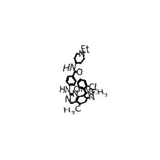 CCN1CCC(NC(=O)c2ccc(Nc3ncc4c(n3)-c3c(nn(C)c3-c3ccccc3Cl)CC4C)c(OC)c2)CC1